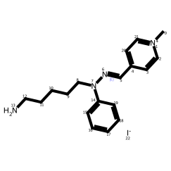 C[n+]1ccc(/C=N/N(CCCCCN)c2ccccc2)cc1.[I-]